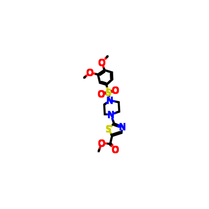 COC(=O)c1cnc(N2CCN(S(=O)(=O)c3ccc(OC)c(OC)c3)CC2)s1